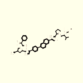 COC(=O)NC(C(=O)N1CCCC1c1ncc(-c2ccc3cc(-c4ccc(-c5cnc(C6CC(C#N)CN6C(=O)C(c6ccccc6)N(C)C)[nH]5)cc4)ccc3c2)[nH]1)C(C)C